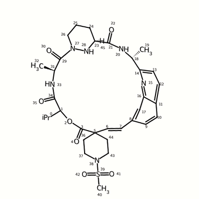 CC(C)C1OC(=O)C2(/C=C/c3ccc4ccc(nc4c3)[C@@H](C)NC(=O)[C@@H]3CCCN(N3)C(=O)[C@H](C)NC1=O)CCN(S(C)(=O)=O)CC2